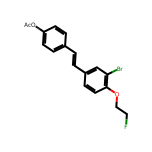 CC(=O)Oc1ccc(/C=C/c2ccc(OCCF)c(Br)c2)cc1